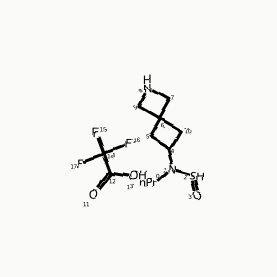 CCCN([SH]=O)C1CC2(CNC2)C1.O=C(O)C(F)(F)F